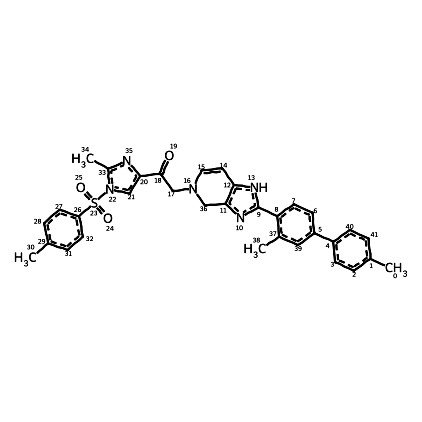 Cc1ccc(-c2ccc(-c3nc4c([nH]3)C=CN(CC(=O)c3cn(S(=O)(=O)c5ccc(C)cc5)c(C)n3)C4)c(C)c2)cc1